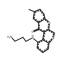 Cc1ccc2sc3cnc4cccc(NCCCN)c4c3c(=O)c2c1